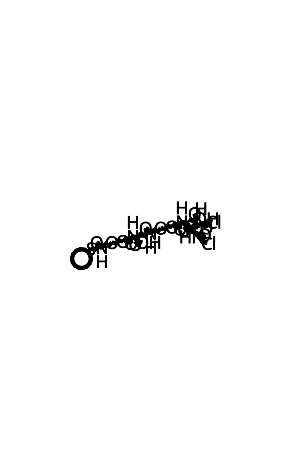 O=C(O)CC[C@@H](NC(=O)COCCOCCNC(=O)CCC(NC(=O)COCCOCCNC(=O)CSC1CCCCCCCCCCCCC1)C(=O)O)C(=O)N(CCNC(=O)CCl)CCNC(=O)CCl